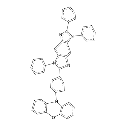 c1ccc(-c2nc3cc4c(cc3n2-c2ccccc2)nc(-c2ccc(N3c5ccccc5Oc5ccccc53)cc2)n4-c2ccccc2)cc1